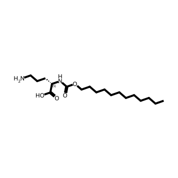 CCCCCCCCCCCCOC(=O)N[C@@H](CCCN)C(=O)O